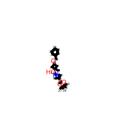 CC1(C)OB(c2cnn(CC3(O)CC(OCc4ccccc4)C3)c2)OC1(C)C